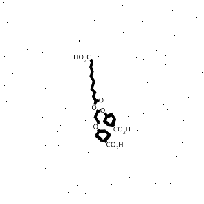 O=C(O)CCCCCCCCC(=O)OC(CCOc1ccc(C(=O)O)cc1)Oc1ccc(C(=O)O)cc1